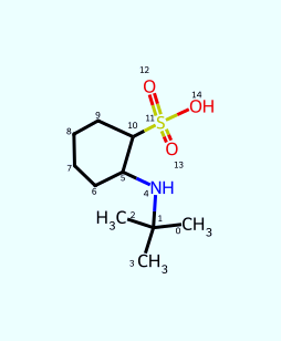 CC(C)(C)NC1CCCCC1S(=O)(=O)O